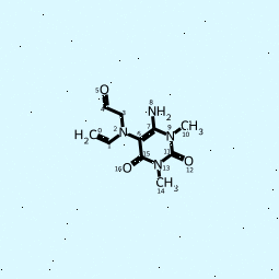 C=CN(CC=O)c1c(N)n(C)c(=O)n(C)c1=O